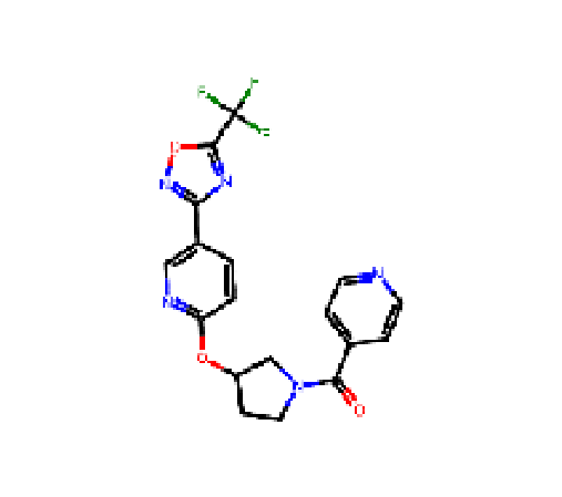 O=C(c1ccncc1)N1CCC(Oc2ccc(-c3noc(C(F)(F)F)n3)cn2)C1